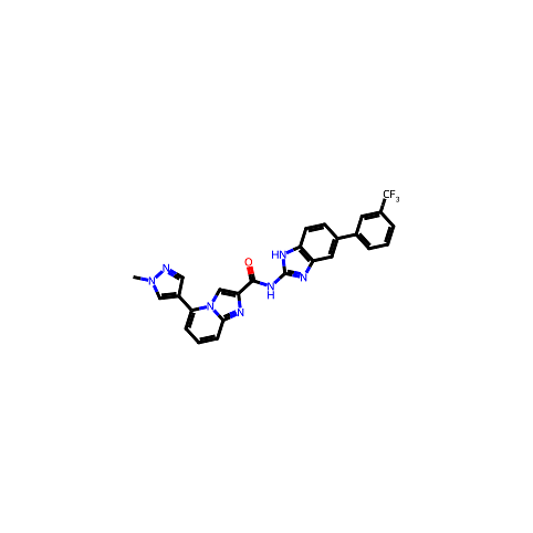 Cn1cc(-c2cccc3nc(C(=O)Nc4nc5cc(-c6cccc(C(F)(F)F)c6)ccc5[nH]4)cn23)cn1